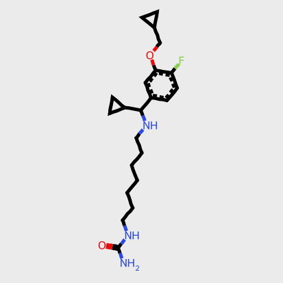 NC(=O)NCCCCCCCNC(c1ccc(F)c(OCC2CC2)c1)C1CC1